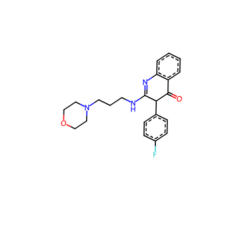 O=C1c2ccccc2N=C(NCCCN2CCOCC2)C1c1ccc(F)cc1